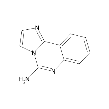 Nc1nc2ccccc2c2nccn12